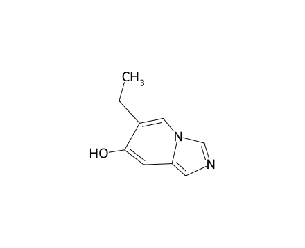 CCc1cn2cncc2cc1O